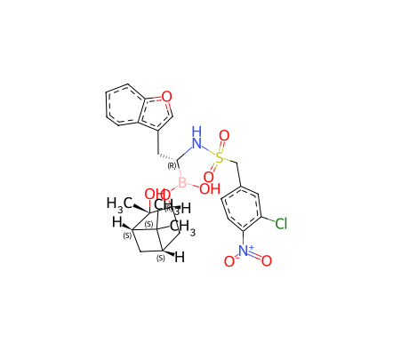 CC1(C)[C@@H]2C[C@@H](OB(O)[C@H](Cc3coc4ccccc34)NS(=O)(=O)Cc3ccc([N+](=O)[O-])c(Cl)c3)[C@@](C)(O)[C@H]1C2